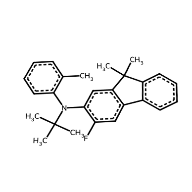 Cc1ccccc1N(c1cc2c(cc1F)-c1ccccc1C2(C)C)C(C)(C)C